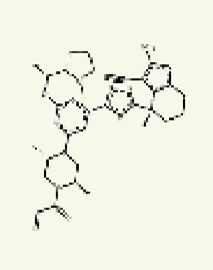 C=CC(=O)N1C[C@H](C)N(c2cc(-c3noc([C@@]4(C)CCCc5sc(N)c(C#N)c54)n3)nc(O[C@@H](C)[C@@H]3CCCN3C)n2)C[C@H]1C